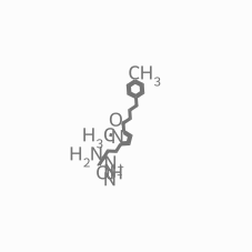 Cc1ccc(CCCC(=O)c2ccc(CC[C@@](N)(CO)N=[N+]=[N-])n2C)cc1